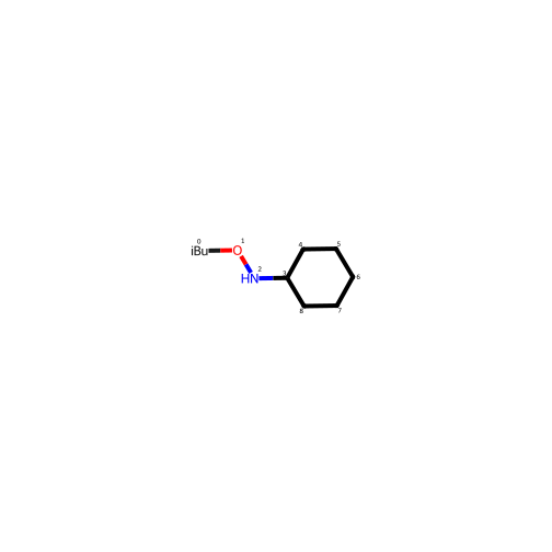 CCC(C)ONC1CCCCC1